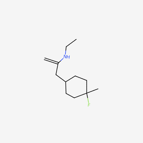 C=C(CC1CCC(C)(F)CC1)NCC